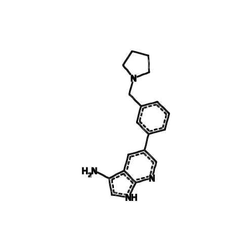 Nc1c[nH]c2ncc(-c3cccc(CN4CCCC4)c3)cc12